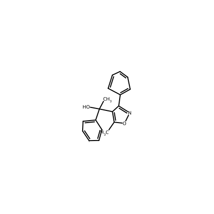 Cc1onc(-c2ccccc2)c1C(C)(O)c1cc[c]cc1